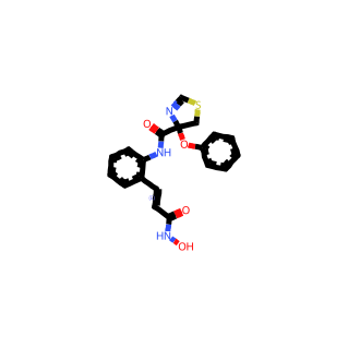 O=C(/C=C/c1ccccc1NC(=O)C1(Oc2ccccc2)CSC=N1)NO